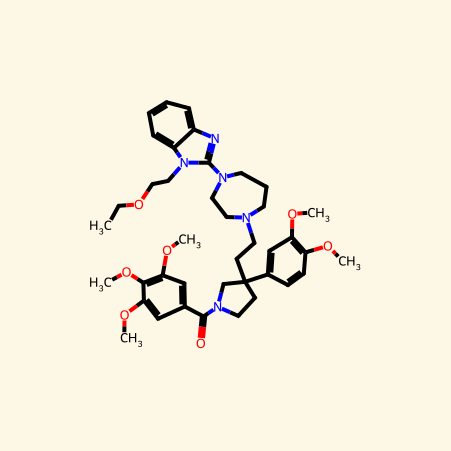 CCOCCn1c(N2CCCN(CCC3(c4ccc(OC)c(OC)c4)CCN(C(=O)c4cc(OC)c(OC)c(OC)c4)C3)CC2)nc2ccccc21